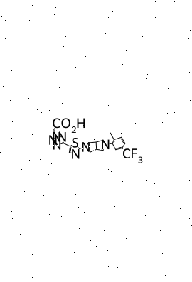 Cc1ccc(C(F)(F)F)cc1N1CC2CN(c3ncc(-c4nnn(CC(=O)O)n4)s3)CC2C1